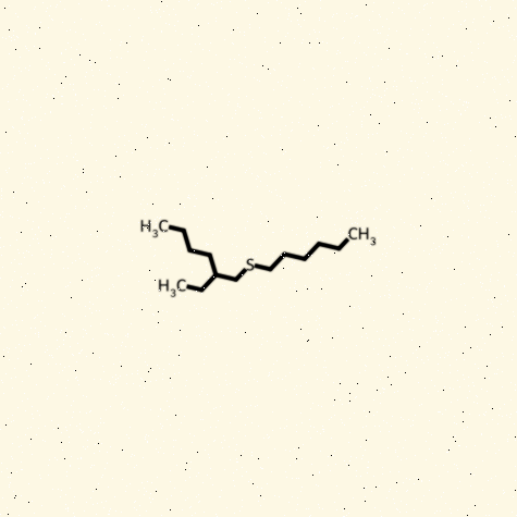 CCCCCCSCC(CC)CCCC